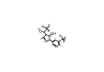 COC(C1C(C)=NN(c2cncc(C(F)(F)F)c2)C1O)C(F)(F)F